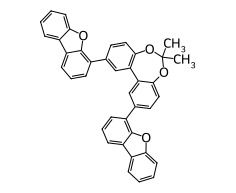 CC1(C)Oc2ccc(-c3cccc4c3oc3ccccc34)cc2-c2cc(-c3cccc4c3oc3ccccc34)ccc2O1